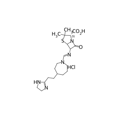 CC1(C)SC2C(N=CN3CCCC(CCC4=NCCN4)CC3)C(=O)N2[C@H]1C(=O)O.Cl